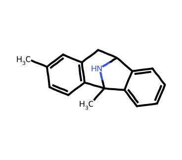 Cc1ccc2c(c1)CC1NC2(C)c2ccccc21